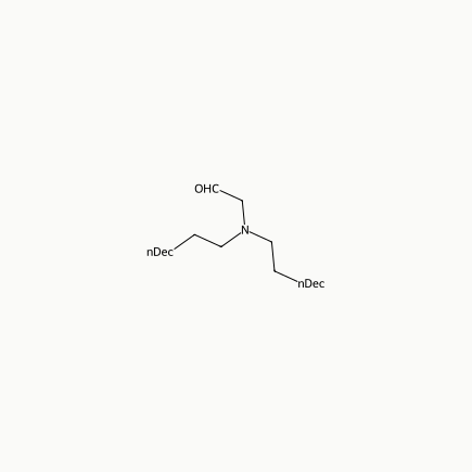 CCCCCCCCCCCCN(CC=O)CCCCCCCCCCCC